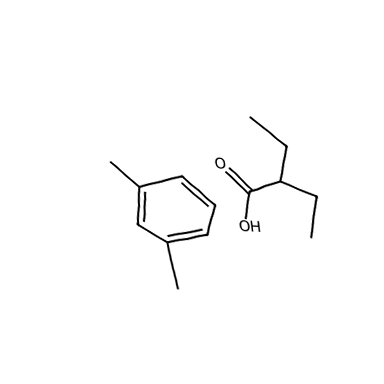 CCC(CC)C(=O)O.Cc1cccc(C)c1